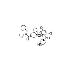 C[C@H](CC1CCCCC1)C(=O)N1CC[C@](O)(Cn2cc(C(=O)N3CCNCC3)c(C3CC3)cc2=O)C2(CCCC2)C1